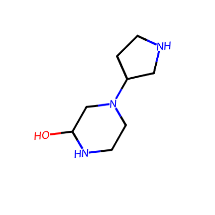 OC1CN(C2CCNC2)CCN1